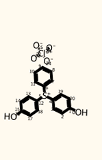 Oc1ccc([S+](c2ccccc2)c2ccc(O)cc2)cc1.[O-][Cl+3]([O-])([O-])[O-]